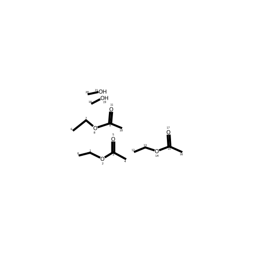 CCOC(C)=O.CCOC(C)=O.CCOC(C)=O.CO.CO